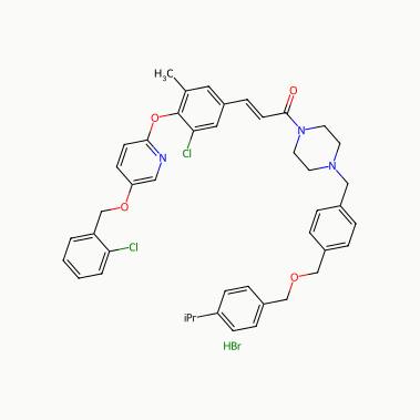 Br.Cc1cc(/C=C/C(=O)N2CCN(Cc3ccc(COCc4ccc(C(C)C)cc4)cc3)CC2)cc(Cl)c1Oc1ccc(OCc2ccccc2Cl)cn1